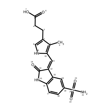 Cc1c(CCC(=O)O)c[nH]c1C=C1C(=O)Nc2ccc(S(N)(=O)=O)cc21